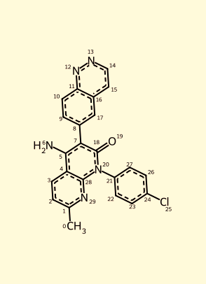 Cc1ccc2c(N)c(-c3ccc4nnccc4c3)c(=O)n(-c3ccc(Cl)cc3)c2n1